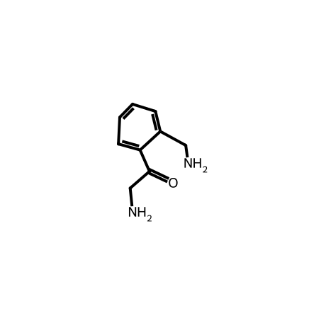 NCC(=O)c1ccccc1CN